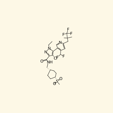 CCn1nc(C(=O)NC[C@H]2CC[C@@H](S(C)(=O)=O)CC2)c(Cl)c1-c1cnc(CC(C)(C)C(F)(F)F)cc1C(F)F